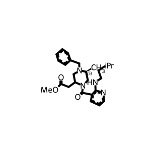 COC(=O)CC1CN(Cc2ccccc2)[C@@H](C)CN1C(=O)c1cccnc1NCCC(C)C